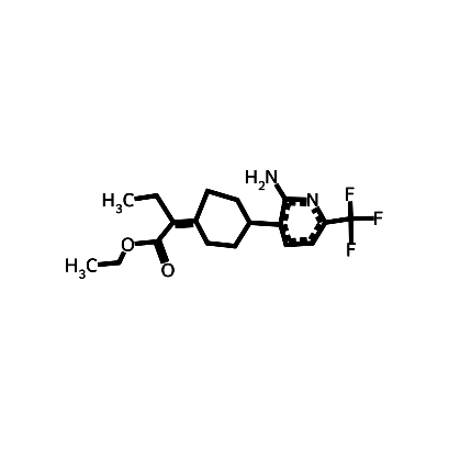 CCOC(=O)C(CC)=C1CCC(c2ccc(C(F)(F)F)nc2N)CC1